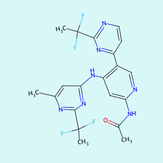 CC(=O)Nc1cc(Nc2cc(C)nc(C(C)(F)F)n2)c(-c2ccnc(C(C)(F)F)n2)cn1